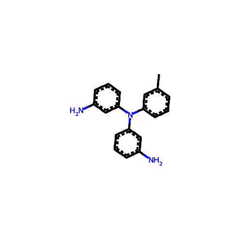 Cc1cccc(N(c2cccc(N)c2)c2cccc(N)c2)c1